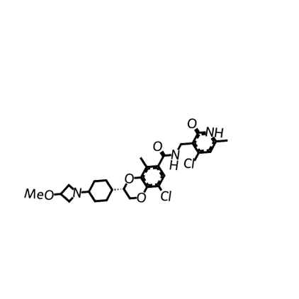 COC1CN(C2CCC([C@H]3COc4c(Cl)cc(C(=O)NCc5c(Cl)cc(C)[nH]c5=O)c(C)c4O3)CC2)C1